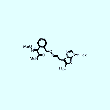 CCCCCCN1C=NN2C(CC=NOCc3ccccc3/C(=N\OC)C(=O)NC)=C(C)SC12